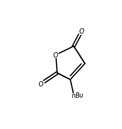 CCCCC1=CC(=O)OC1=O